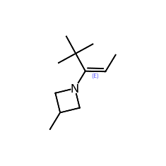 C/C=C(/N1CC(C)C1)C(C)(C)C